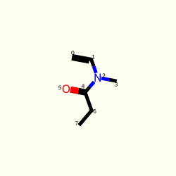 C=CN(C)C(=O)CC